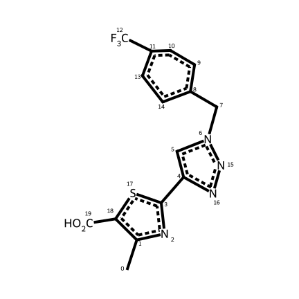 Cc1nc(-c2cn(Cc3ccc(C(F)(F)F)cc3)nn2)sc1C(=O)O